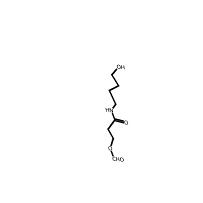 O=COCCC(=O)NCCCCO